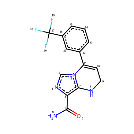 NC(=O)c1ncn2c1NCC=C2c1cccc(C(F)(F)F)c1